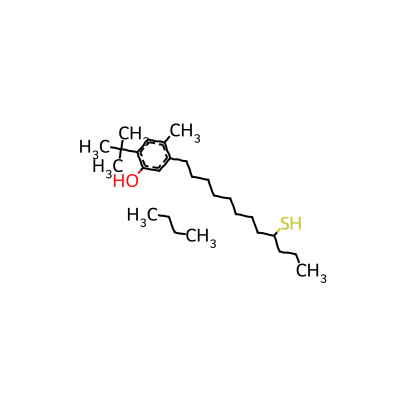 CCCC.CCCC(S)CCCCCCCCc1cc(O)c(C(C)(C)C)cc1C